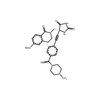 COc1ccc2c(c1)CCN(C[C@@]1(C#Cc3ccc(C(=N)N4CCN(C)CC4)cc3)NC(=O)NC1=O)C2=O